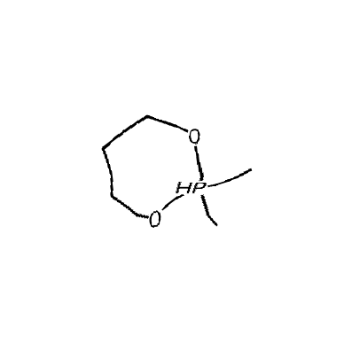 C[PH]1(C)OCCCO1